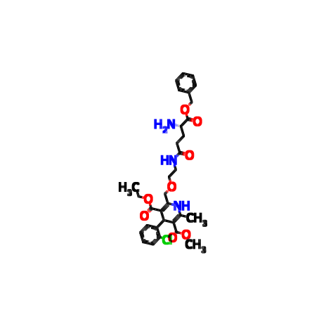 CCOC(=O)C1=C(COCCNC(=O)CC[C@H](N)C(=O)OCc2ccccc2)NC(C)=C(C(=O)OC)C1c1ccccc1Cl